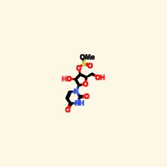 COS(=O)O[C@@H]1[C@H](O)[C@H](n2ccc(=O)[nH]c2=O)O[C@@H]1CO